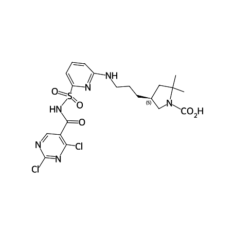 CC1(C)C[C@H](CCCNc2cccc(S(=O)(=O)NC(=O)c3cnc(Cl)nc3Cl)n2)CN1C(=O)O